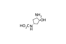 N[C@H]1C[C@@H](NC(=O)O)C[C@@H]1O